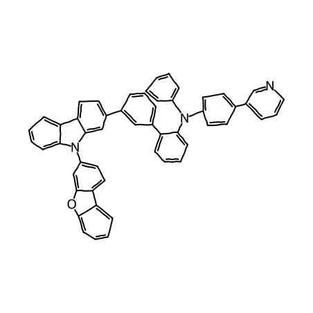 c1ccc(N(c2ccc(-c3cccnc3)cc2)c2ccccc2-c2cccc(-c3ccc4c5ccccc5n(-c5ccc6c(c5)oc5ccccc56)c4c3)c2)cc1